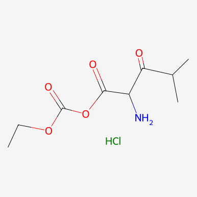 CCOC(=O)OC(=O)C(N)C(=O)C(C)C.Cl